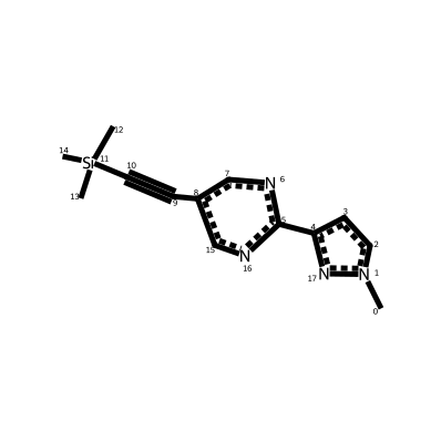 Cn1ccc(-c2ncc(C#C[Si](C)(C)C)cn2)n1